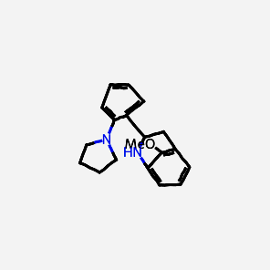 COc1c2cccc1NC(c1ccccc1N1CCCC1)C2